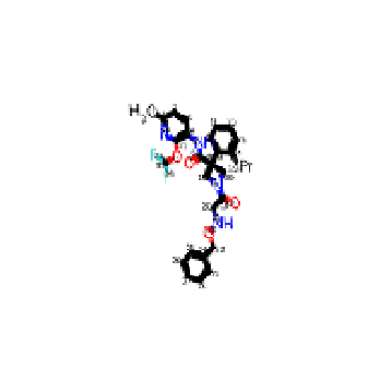 Cc1ccc(NC(=O)C2(c3ccccc3C(C)C)CN(C(=O)CNOCc3ccccc3)C2)c(OC(F)F)n1